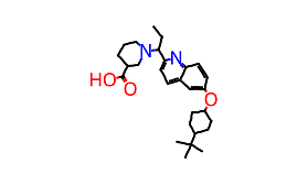 CCC(c1ccc2cc(OC3CCC(C(C)(C)C)CC3)ccc2n1)N1CCCC(C(=O)O)C1